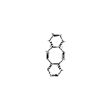 [C]1=C\c2ccccc2/C=C\c2ccccc2/1